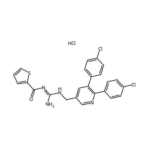 Cl.N/C(=N\C(=O)c1cccs1)NCc1cnc(-c2ccc(Cl)cc2)c(-c2ccc(Cl)cc2)c1